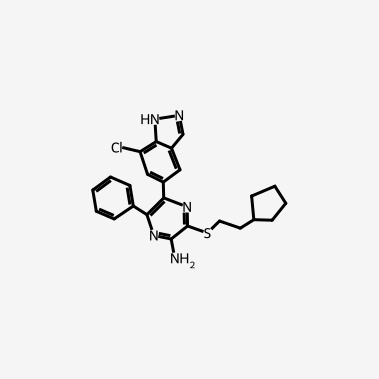 Nc1nc(-c2ccccc2)c(-c2cc(Cl)c3[nH]ncc3c2)nc1SCCC1CCCC1